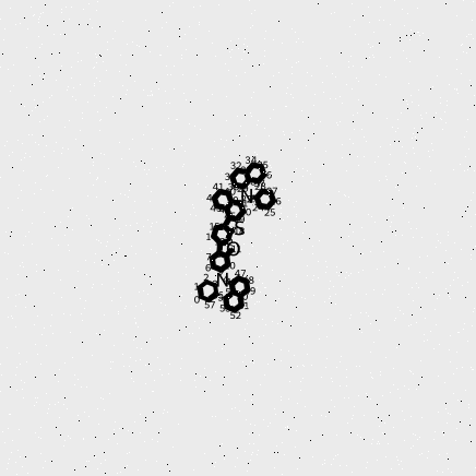 C1=CCC(N(c2ccc3c(c2)oc2c3ccc3c2sc2cc(N(c4ccccc4)c4cccc5ccccc45)c4ccccc4c23)c2cccc3ccccc23)C=C1